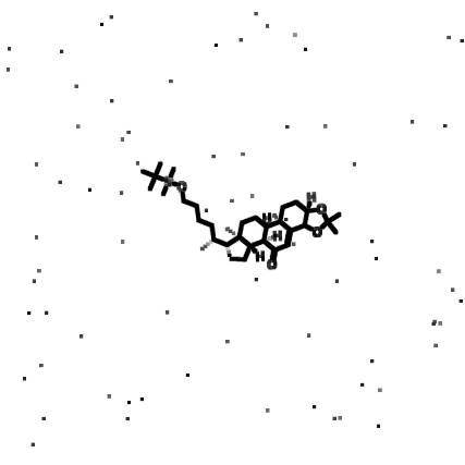 C[C@H](CCCCO[Si](C)(C)C(C)(C)C)[C@H]1CC[C@H]2[C@@H]3C(=O)C=C4C5OC(C)(C)O[C@H]5CC[C@]4(C)[C@H]3CC[C@]12C